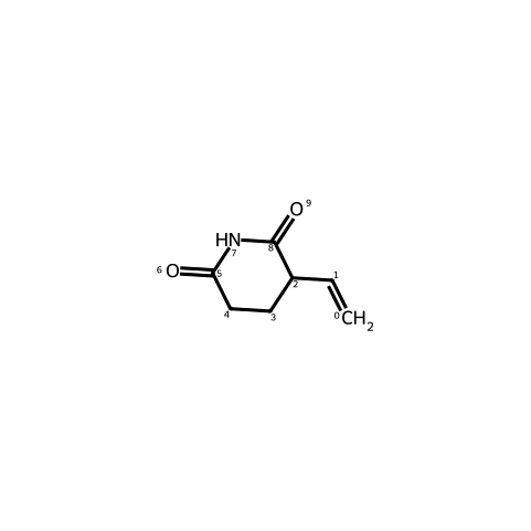 C=CC1CCC(=O)NC1=O